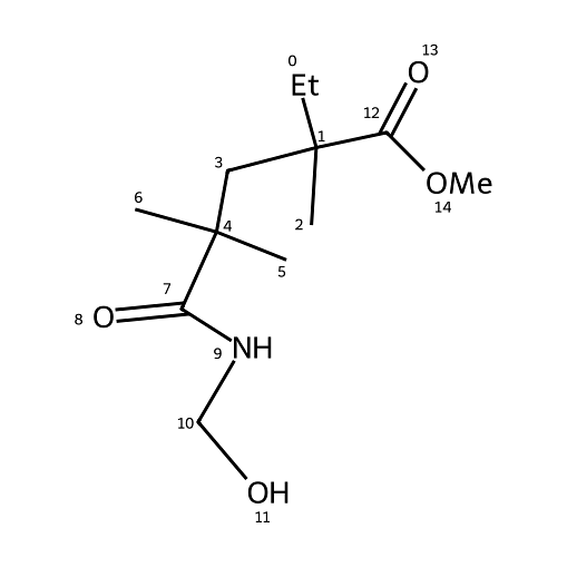 CCC(C)(CC(C)(C)C(=O)NCO)C(=O)OC